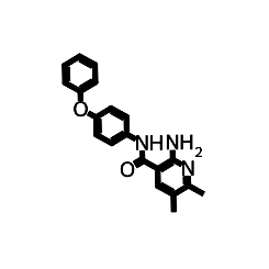 Cc1cc(C(=O)Nc2ccc(Oc3ccccc3)cc2)c(N)nc1C